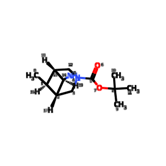 C[C@@H]1[C@H]2CN(C(=O)OC(C)(C)C)C[C@@H]1[C@H]2N